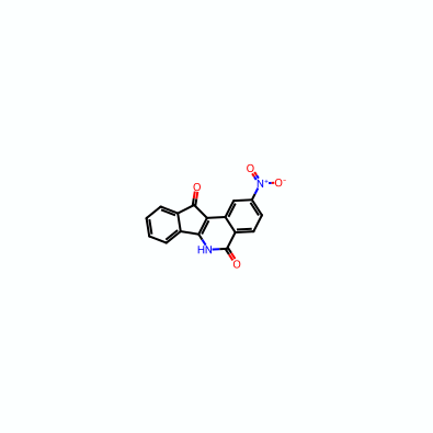 O=C1c2ccccc2-c2[nH]c(=O)c3ccc([N+](=O)[O-])cc3c21